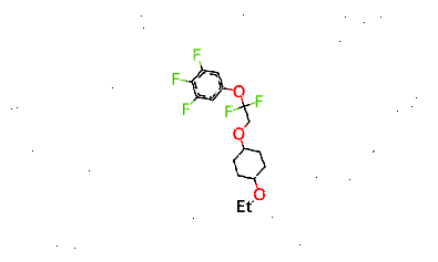 CCOC1CCC(OCC(F)(F)Oc2cc(F)c(F)c(F)c2)CC1